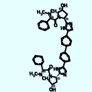 CN(C)[C@@H](C(=O)N1C[C@@H](O)C[C@H]1c1ncc(-c2ccc(-c3ccc(-c4cnc([C@@H]5C[C@H](O)CN5C(=O)[C@@H](c5ccccc5)N(C)C)[nH]4)cc3)cc2)[nH]1)c1ccccc1